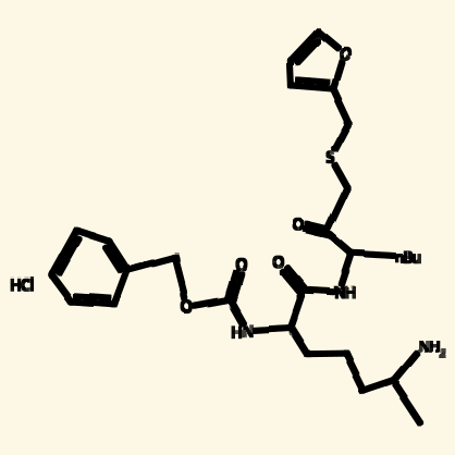 CCCCC(NC(=O)C(CCCC(C)N)NC(=O)OCc1ccccc1)C(=O)CSCc1ccco1.Cl